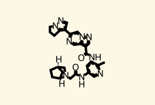 Cc1ncc(NC(=O)CN2C[C@@H]3CC[C@H]2C3)cc1NC(=O)c1cnn2cc(-c3cnn4c3CCC4)ncc12